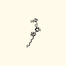 FCCCCCc1cn(-c2cncc(OC[C@@H]3CCN3)c2)nn1